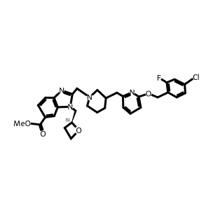 COC(=O)c1ccc2nc(CN3CCCC(Cc4cccc(OCc5ccc(Cl)cc5F)n4)C3)n(C[C@@H]3CCO3)c2c1